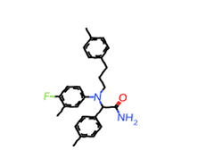 Cc1ccc(CCCN(c2ccc(F)c(C)c2)C(C(N)=O)c2ccc(C)cc2)cc1